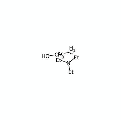 CC(C)=O.CCN(CC)CC.CO